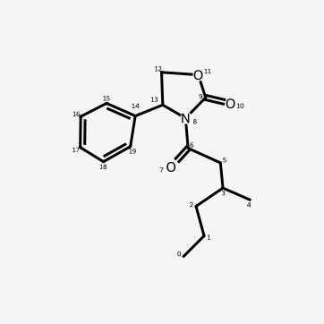 CCCC(C)CC(=O)N1C(=O)OCC1c1ccccc1